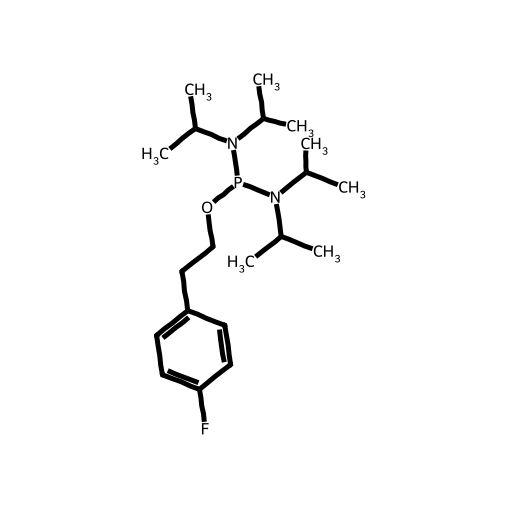 CC(C)N(C(C)C)P(OCCc1ccc(F)cc1)N(C(C)C)C(C)C